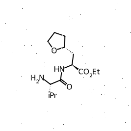 CCOC(=O)[C@H](C[C@H]1CCCO1)NC(=O)[C@@H](N)C(C)C